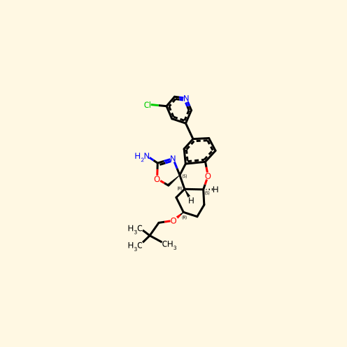 CC(C)(C)CO[C@@H]1CC[C@@H]2Oc3ccc(-c4cncc(Cl)c4)cc3[C@]3(COC(N)=N3)[C@H]2C1